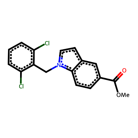 COC(=O)c1ccc2c(ccn2Cc2c(Cl)cccc2Cl)c1